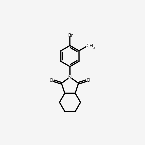 Cc1cc(N2C(=O)C3CCCCC3C2=O)ccc1Br